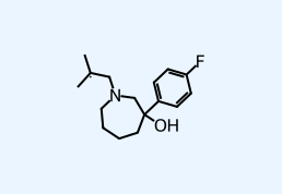 C[C](C)CN1CCCCC(O)(c2ccc(F)cc2)C1